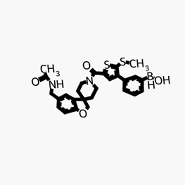 CSc1sc(C(=O)N2CCC3(CC2)COc2ccc(CNC(C)=O)cc23)cc1-c1cccc(BO)c1